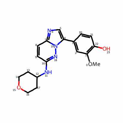 COc1cc(-c2cnc3ccc(NC4CCOCC4)nn23)ccc1O